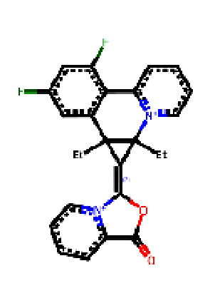 CCC12/C(=C3/OC(=O)c4cccc[n+]43)C1(CC)[n+]1ccccc1-c1c(F)cc(F)cc12